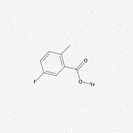 [2H]OC(=O)c1cc(F)ccc1C